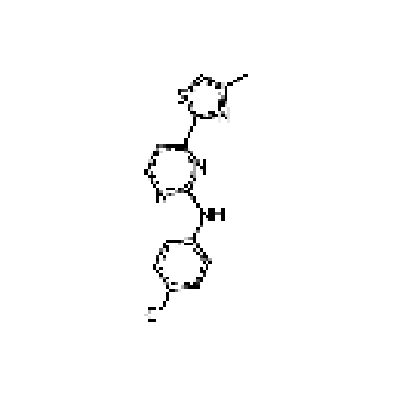 Cc1csc(-c2ccnc(Nc3ccc(Cl)cc3)n2)n1